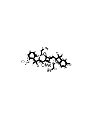 COC1=C(/C=C2\N(CCC(C)C)c3cccc([N+](=O)[O-])c3C2(C)C)C(=O)/C1=C/C1=[N+](CCC(C)C)c2ccc(C)cc2C1(C)C